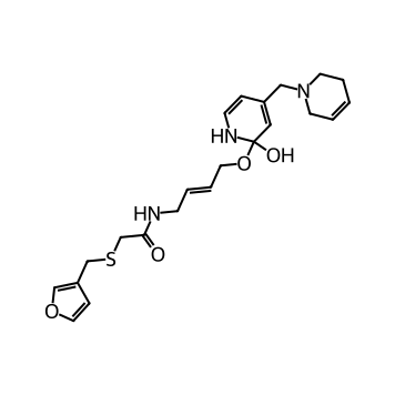 O=C(CSCc1ccoc1)NCC=CCOC1(O)C=C(CN2CC=CCC2)C=CN1